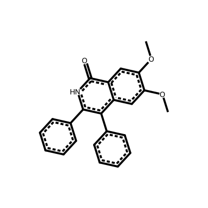 COc1cc2c(-c3ccccc3)c(-c3ccccc3)[nH]c(=O)c2cc1OC